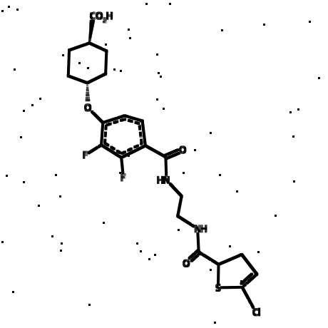 O=C(NCCNC(=O)C1CC=C(Cl)S1)c1ccc(O[C@H]2CC[C@H](C(=O)O)CC2)c(F)c1F